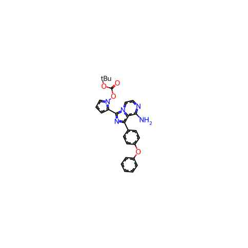 CC(C)(C)OC(=O)On1cccc1-c1nc(-c2ccc(Oc3ccccc3)cc2)c2c(N)nccn12